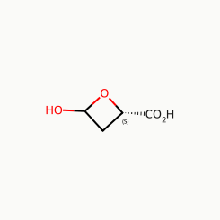 O=C(O)[C@@H]1CC(O)O1